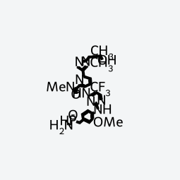 CNC(=O)c1nc(-c2cnn(CC(C)(C)CO)c2)ccc1Nc1nc(Nc2ccc(C[PH](N)=O)cc2OC)ncc1C(F)(F)F